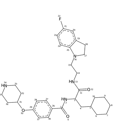 O=C(NC(CC1CCCCC1)C(=O)NCCN1CCc2cc(F)ccc21)c1ccc(OC2CCNCC2)cc1